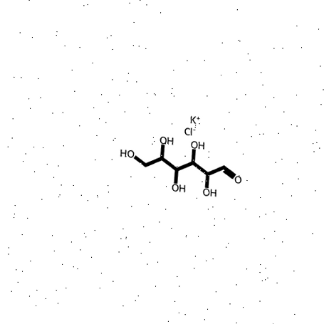 O=CC(O)C(O)C(O)C(O)CO.[Cl-].[K+]